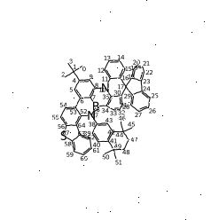 CC(C)(C)c1cc2c3c(c1)N1c4ccccc4C4(c5ccccc5-c5ccccc54)c4cccc(c41)B3N(c1ccc3c(c1)C(C)(C)CCC3(C)C)c1c-2ccc2sc3ccccc3c12